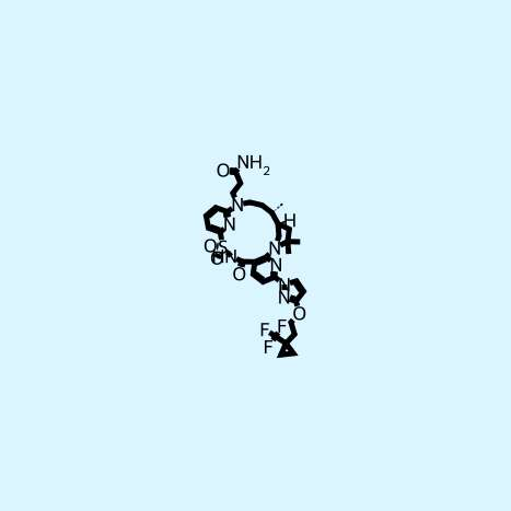 C[C@H]1CCN(CCC(N)=O)c2cccc(n2)S(=O)(=O)NC(=O)c2ccc(-n3ccc(OCCC4(C(F)(F)F)CC4)n3)nc2N2C[C@@H]1CC2(C)C